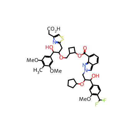 COc1cc(C(O)C(Cn2cc3cccc(C(=O)OC4CCC4COC(Cc4nc(CC(=O)O)cs4)C(O)c4cc(OC)c(C)c(OC)c4)c3n2)OC2CCCC2)ccc1C(F)F